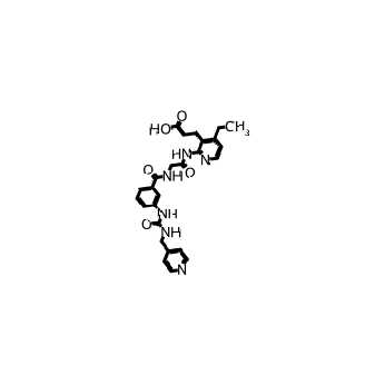 CCc1ccnc(NC(=O)CNC(=O)c2cccc(NC(=O)NCc3ccncc3)c2)c1CCC(=O)O